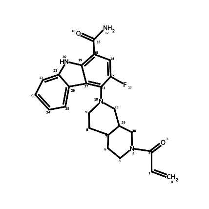 C=CC(=O)N1CCC2CCN(c3c(F)cc(C(N)=O)c4[nH]c5ccccc5c34)CC2C1